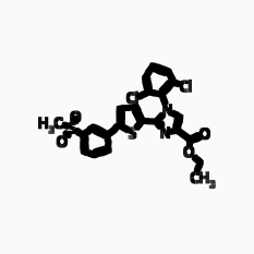 CCOC(=O)c1cn(-c2c(Cl)cccc2Cl)c(-c2ccc(-c3cccc(S(C)(=O)=O)c3)s2)n1